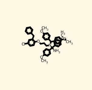 COc1ccc(C(c2ccc(OC)cc2)N(CCCOc2ccc(Cl)cc2Cc2ccccc2)C(N)(c2ccc(OC)cc2)c2ccc(OC)cc2)cc1